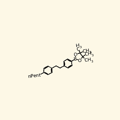 CCCCCc1ccc(CCc2ccc(B3OC(C)(C)C(C)(C)O3)cc2)cc1